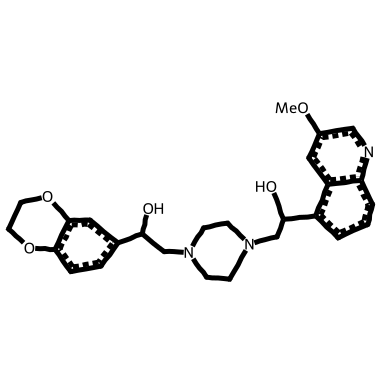 COc1cnc2cccc(C(O)CN3CCN(CC(O)c4ccc5c(c4)OCCO5)CC3)c2c1